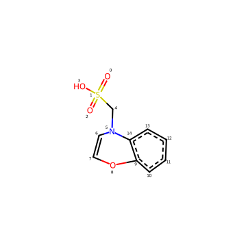 O=S(=O)(O)CN1C=COc2ccccc21